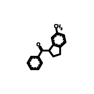 Cc1ccc2c(c1)C(C(=O)c1ccccc1)CC2